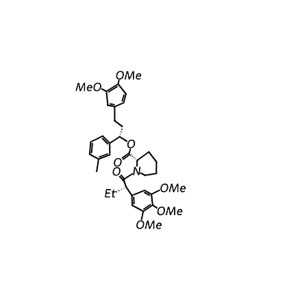 CC[C@H](C(=O)N1CCCC[C@H]1C(=O)O[C@@H](CCc1ccc(OC)c(OC)c1)c1cccc(C)c1)c1cc(OC)c(OC)c(OC)c1